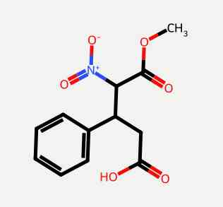 COC(=O)C(C(CC(=O)O)c1ccccc1)[N+](=O)[O-]